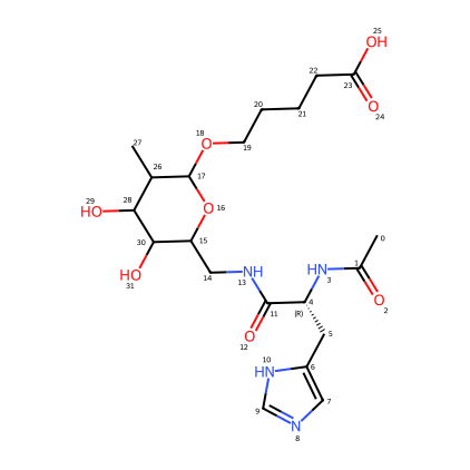 CC(=O)N[C@H](Cc1cnc[nH]1)C(=O)NCC1OC(OCCCCC(=O)O)C(C)C(O)C1O